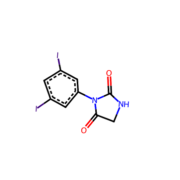 O=C1CNC(=O)N1c1cc(I)cc(I)c1